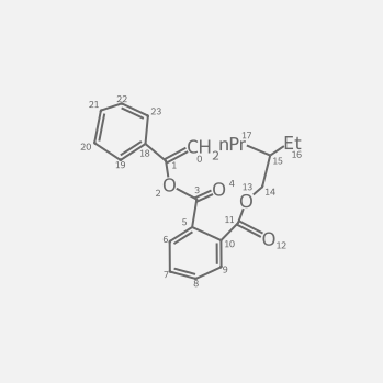 C=C(OC(=O)c1ccccc1C(=O)OCC(CC)CCC)c1ccccc1